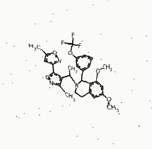 COc1cc2c(c(OC)c1)C(c1cccc(OC(F)(F)F)c1)N(C(C)c1c(C)noc1-c1cc(C)on1)CC2